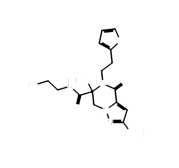 CCOC(=O)c1cc2n(n1)CC(C)(C(=O)NCCC(C)C)N(CCc1cccs1)C2=O